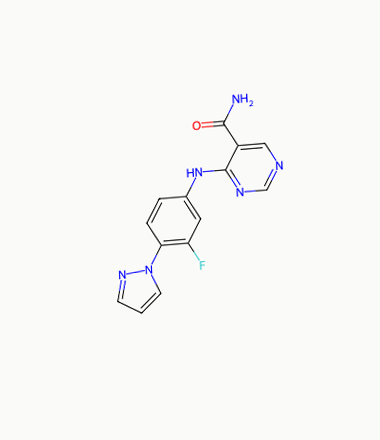 NC(=O)c1cncnc1Nc1ccc(-n2cccn2)c(F)c1